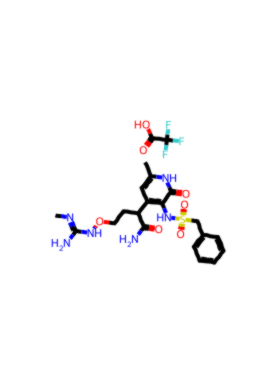 CN=C(N)NOCCC(C(N)=O)c1cc(C)[nH]c(=O)c1NS(=O)(=O)Cc1ccccc1.O=C(O)C(F)(F)F